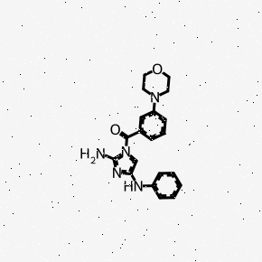 Nc1nc(Nc2ccccc2)cn1C(=O)c1cccc(N2CCOCC2)c1